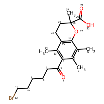 Cc1c(C)c(C(=O)CCCCCBr)c(C)c2c1OC(C)(C(=O)O)CC2